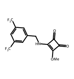 COc1c(NCc2cc(C(F)(F)F)cc(C(F)(F)F)c2)c(=O)c1=O